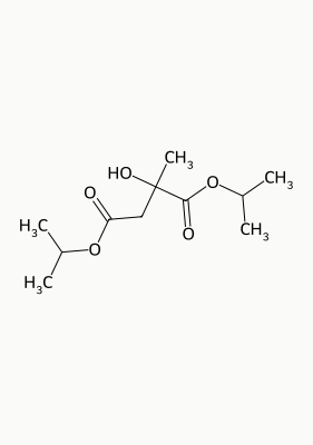 CC(C)OC(=O)CC(C)(O)C(=O)OC(C)C